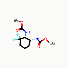 CC(C)(C)OC(=O)N[C@@H]1[C@H](NC(=O)OC(C)(C)C)CCCC1(F)F